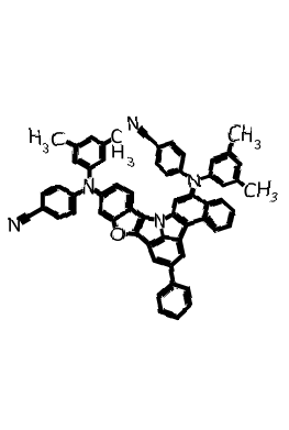 Cc1cc(C)cc(N(c2ccc(C#N)cc2)c2ccc3c(c2)oc2c4cc(-c5ccccc5)cc5c6c7ccccc7c(N(c7ccc(C#N)cc7)c7cc(C)cc(C)c7)cc6n(c45)c32)c1